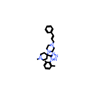 Cc1cccc(C)c1-n1nnnc1C1(N2CCN(CC=Cc3ccccc3)CC2)CCN(C)CC1